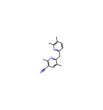 Cc1ccc(Cc2nc(C)c(C#N)cc2C)nc1C